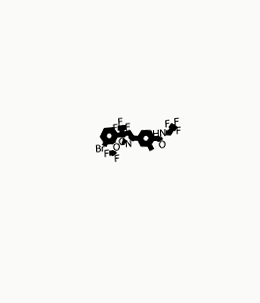 Cc1cc(C2=NOC(c3cccc(Br)c3OC(F)F)(C(F)(F)F)C2)ccc1C(=O)NCC(F)(F)F